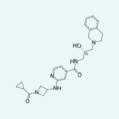 O=C(NC[C@H](O)CN1CCc2ccccc2C1)c1ccnc(NC2CN(C(=O)C3CC3)C2)c1